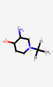 CCC(C)(CC)N1CCC(O)C(N)C1